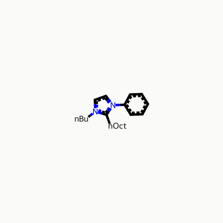 CCCCCCCCc1n(-c2ccccc2)cc[n+]1CCCC